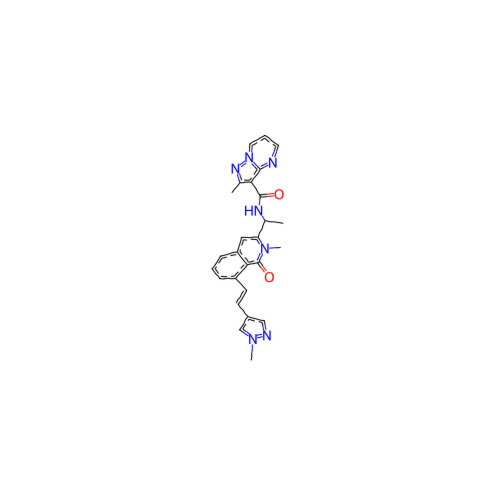 Cc1nn2cccnc2c1C(=O)NC(C)c1cc2cccc(/C=C/c3cnn(C)c3)c2c(=O)n1C